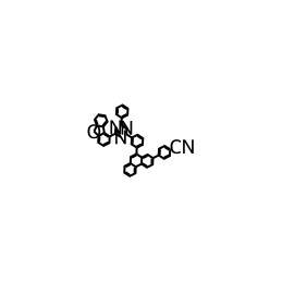 N#Cc1ccc(-c2ccc3c(c2)c(-c2cccc(-c4nc(-c5ccccc5)nc(-c5cccc6oc7ccccc7c56)n4)c2)cc2ccccc23)cc1